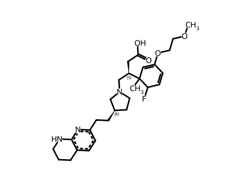 COCCOC1=CC(C)([C@H](CC(=O)O)CN2CC[C@@H](CCc3ccc4c(n3)NCCC4)C2)C(F)C=C1